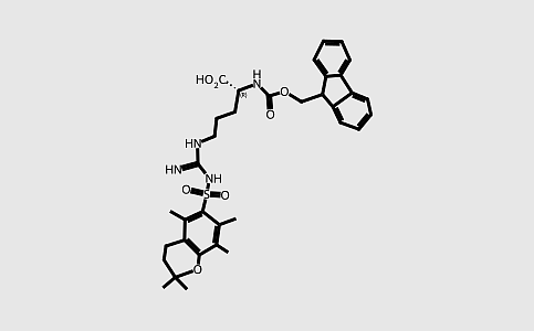 Cc1c(C)c(S(=O)(=O)NC(=N)NCCC[C@@H](NC(=O)OCC2c3ccccc3-c3ccccc32)C(=O)O)c(C)c2c1OC(C)(C)CC2